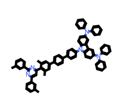 Cc1cccc(-c2cc(-c3c(C)cc(-c4ccc(-c5ccc(-n6c7ccc(N(c8ccccc8)c8ccccc8)cc7c7cc(N(c8ccccc8)c8ccccc8)ccc76)cc5)cc4)cc3C)nc(-c3cccc(C)c3)n2)c1